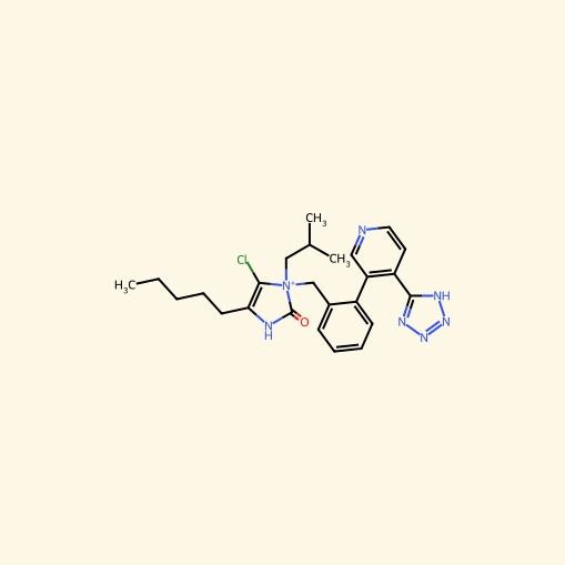 CCCCCC1=C(Cl)[N+](Cc2ccccc2-c2cnccc2-c2nnn[nH]2)(CC(C)C)C(=O)N1